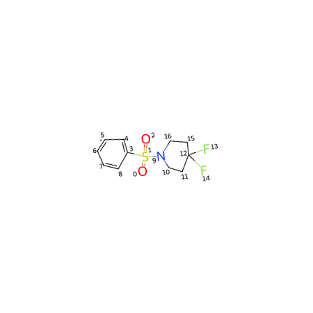 O=S(=O)(c1c[c]ccc1)N1CCC(F)(F)CC1